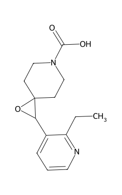 CCc1ncccc1C1OC12CCN(C(=O)O)CC2